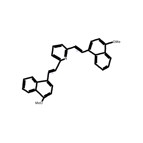 COc1ccc(/C=C/c2cccc(/C=C/c3ccc(OC)c4ccccc34)n2)c2ccccc12